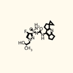 C[C@H](O)Cn1cc(F)c([S@](N)(=O)=NC(=O)Nc2c3c(nc4c2CCC42CC2)CCC3)n1